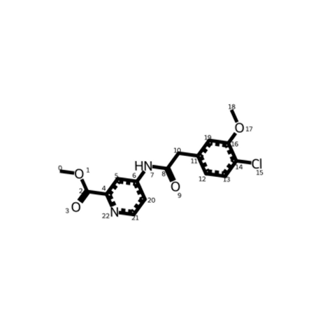 COC(=O)c1cc(NC(=O)Cc2ccc(Cl)c(OC)c2)ccn1